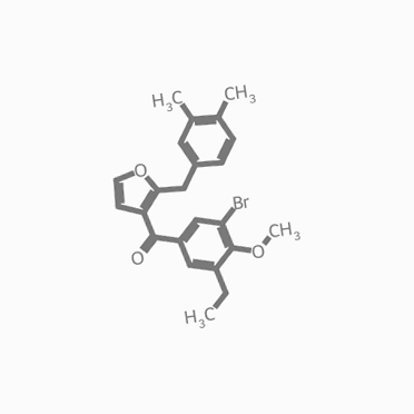 CCc1cc(C(=O)c2ccoc2Cc2ccc(C)c(C)c2)cc(Br)c1OC